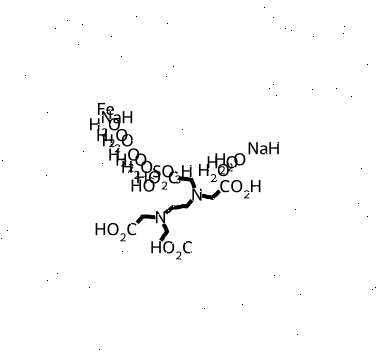 O.O.O.O.O.O.O.O.O.O=C(O)CN(CCN(CC(=O)O)CC(=O)O)CC(=O)O.O=S(=O)(O)O.[Fe].[NaH].[NaH]